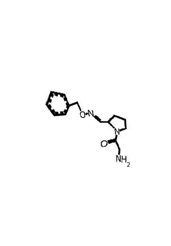 NCC(=O)N1CCCC1C=NOCc1ccccc1